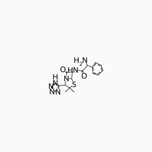 CC1(C)SC2C(NC(=O)C(N)c3ccccc3)C(=O)N2C1c1nnn[nH]1